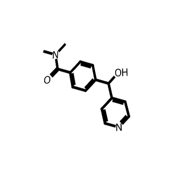 CN(C)C(=O)c1ccc(C(O)c2ccncc2)cc1